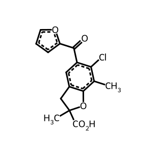 Cc1c(Cl)c(C(=O)c2ccco2)cc2c1OC(C)(C(=O)O)C2